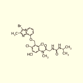 Cc1nc2c(OCc3c(Cl)ccc(N(C)C(=O)CNC(=O)NC(C)C)c3Cl)cccn2c1Br.Cl